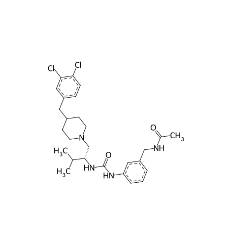 CC(=O)NCc1cccc(NC(=O)N[C@@H](CN2CCC(Cc3ccc(Cl)c(Cl)c3)CC2)C(C)C)c1